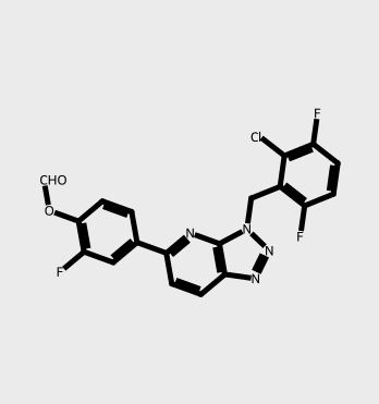 O=COc1ccc(-c2ccc3nnn(Cc4c(F)ccc(F)c4Cl)c3n2)cc1F